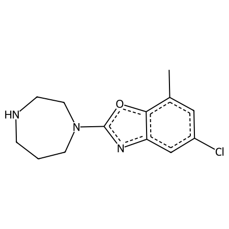 Cc1cc(Cl)cc2nc(N3CCCNCC3)oc12